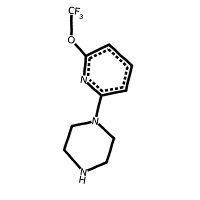 FC(F)(F)Oc1cccc(N2CCNCC2)n1